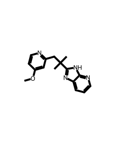 COc1ccnc(CC(C)(C)c2nc3cccnc3[nH]2)c1